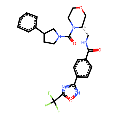 O=C(NC[C@H]1COCCN1C(=O)N1CCC(c2ccccc2)C1)c1ccc(-c2noc(C(F)(F)F)n2)cc1